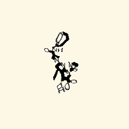 Cc1cc(N2CC(C(=O)NC[C@@H]3CCCCO3)C2)nc2c1c(=O)c(C(=O)O)cn2-c1nccs1